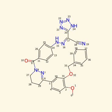 COc1ccc(C2=NN(C(=O)c3ccc(NN=C(C#N)c4nnn[nH]4)cc3)CCC2)cc1OCc1ccccc1